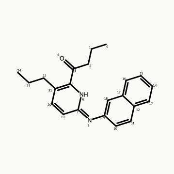 CCCC(=O)c1[nH]c(=Nc2ccc3ccccc3c2)ccc1CCC